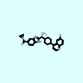 C[C@@H](c1nc2cc(C(=O)N3CC3)ccc2[nH]1)C1CCC(c2ccnc3ccc(F)cc23)CC1